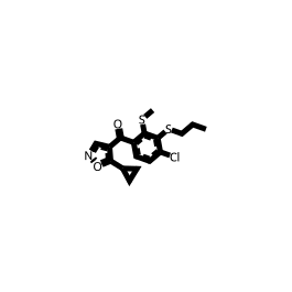 CCCSc1c(Cl)ccc(C(=O)c2cnoc2C2CC2)c1SC